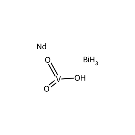 [BiH3].[Nd].[O]=[V](=[O])[OH]